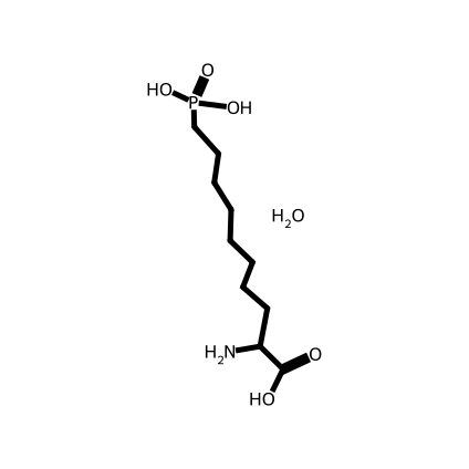 NC(CCCCCCCCP(=O)(O)O)C(=O)O.O